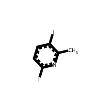 Cc1nc(I)ccc1I